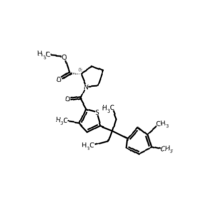 CCC(CC)(c1ccc(C)c(C)c1)c1cc(C)c(C(=O)N2CCC[C@H]2C(=O)OC)s1